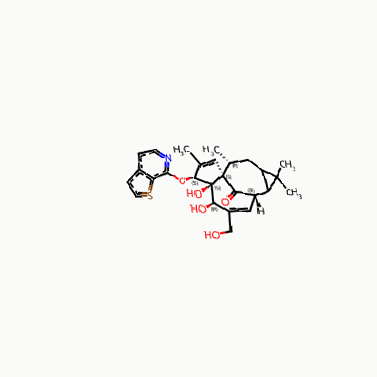 CC1=C[C@]23C(=O)[C@@H](C=C(CO)[C@@H](O)[C@]2(O)[C@H]1Oc1nccc2ccsc12)C1C(C[C@H]3C)C1(C)C